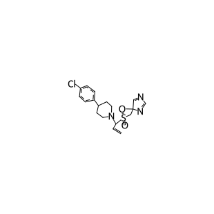 C=CC(N1CCC(c2ccc(Cl)cc2)CC1)S(=O)(=O)CC1(C)C=NC=N1